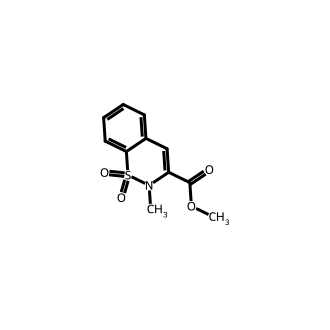 COC(=O)C1=Cc2ccccc2S(=O)(=O)N1C